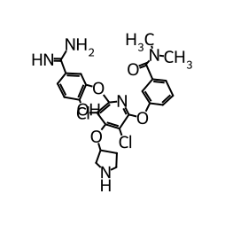 CN(C)C(=O)c1cccc(Oc2nc(Oc3cc(C(=N)N)ccc3O)c(Cl)c(OC3CCNC3)c2Cl)c1